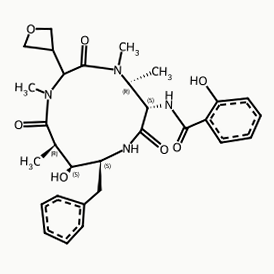 C[C@@H]1[C@H](NC(=O)c2ccccc2O)C(=O)N[C@@H](Cc2ccccc2)[C@@H](O)[C@@H](C)C(=O)N(C)C(C2COC2)C(=O)N1C